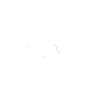 O=CC1CCCc2nn(C3CCCCO3)cc2C1=O